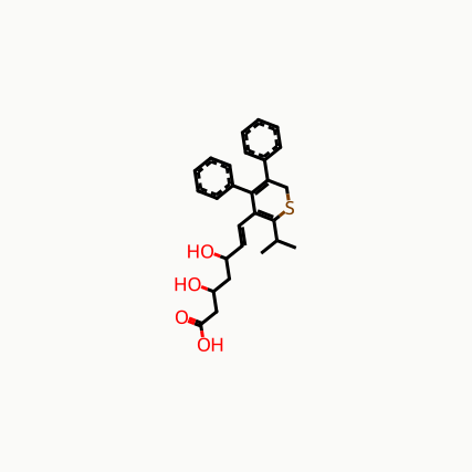 CC(C)C1=C(/C=C/C(O)CC(O)CC(=O)O)C(c2ccccc2)=C(c2ccccc2)CS1